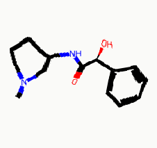 CN1CCCC(NC(=O)[C@@H](O)c2ccccc2)C1